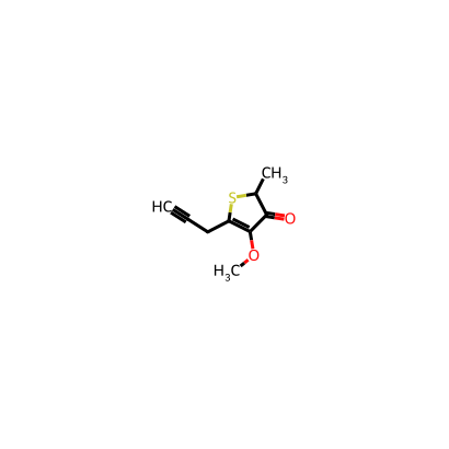 C#CCC1=C(OC)C(=O)C(C)S1